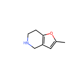 Cc1cc2c(o1)CCNC2